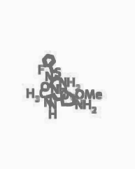 CO[C@H]1COC(c2[nH]nc(C)c2NC(=O)c2nc(-c3ccccc3F)sc2N)CCC1N